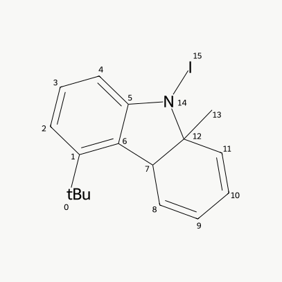 CC(C)(C)c1cccc2c1C1C=CC=CC1(C)N2I